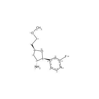 COCC[C@@H]1C[C@@H](N)[C@H](c2ccnc(F)c2)O1